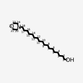 OCCCCCCCCCCCCCCCCCCN1CCOCC1